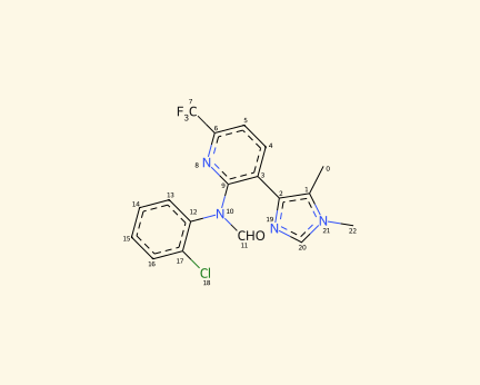 Cc1c(-c2ccc(C(F)(F)F)nc2N(C=O)c2ccccc2Cl)ncn1C